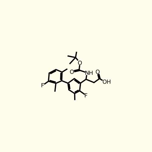 Cc1cc(-c2c(C)ccc(F)c2C)cc(C(CC(=O)O)NC(=O)OC(C)(C)C)c1F